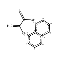 C=C(C)C(=O)O.c1ccc2ccccc2c1